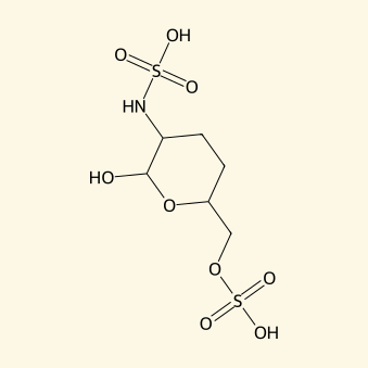 O=S(=O)(O)NC1CCC(COS(=O)(=O)O)OC1O